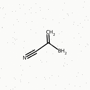 BC(=C)C#N